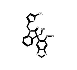 CCOc1cc2c(cc1[C@@]1(CO)C(=O)N(Cc3ccc(C(F)(F)F)o3)c3ccccc31)OCO2